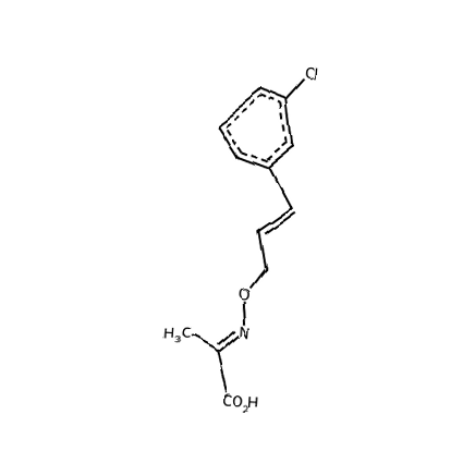 CC(=NOC/C=C/c1cccc(Cl)c1)C(=O)O